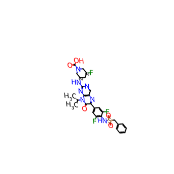 CC(C)n1c(=O)c(-c2cc(F)c(NS(=O)(=O)Cc3ccccc3)c(F)c2)nc2cnc(N[C@H]3C[C@H](F)CN(C(=O)O)C3)nc21